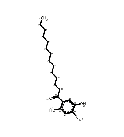 CCCCCCCCCCCCCC(=O)c1cc(O)c(C)cc1O